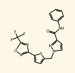 O=C(Nc1ccccc1)c1ccn(Cc2ccc(-c3noc(C(F)(F)F)n3)s2)n1